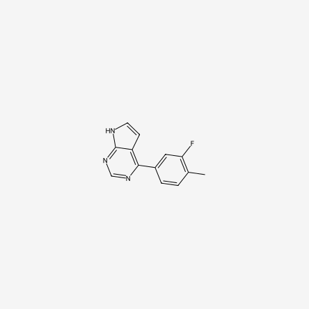 Cc1ccc(-c2ncnc3[nH]ccc23)cc1F